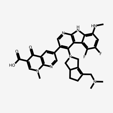 CNc1cc(F)c(F)c2c1[nH]c1ncc(-c3cnc4c(c3)c(=O)c(C(=O)O)cn4C)c(N3CC4=C(CN(C)C)CCC4C3)c12